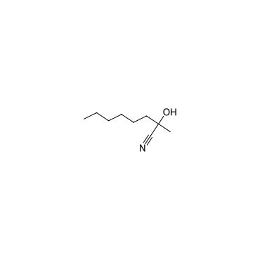 CCCCCCC(C)(O)C#N